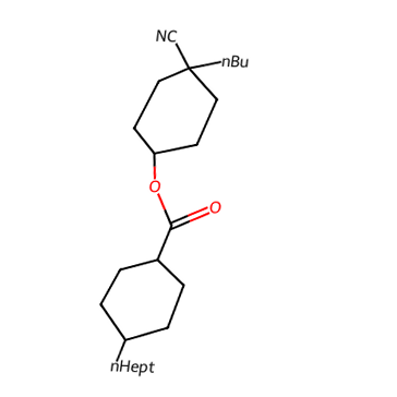 CCCCCCCC1CCC(C(=O)OC2CCC(C#N)(CCCC)CC2)CC1